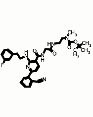 CN(CCNC(=O)CNC(=O)c1ccc(-c2ccccc2C#N)nc1NCCc1cccc(F)c1)C(=O)OC(C)(C)C